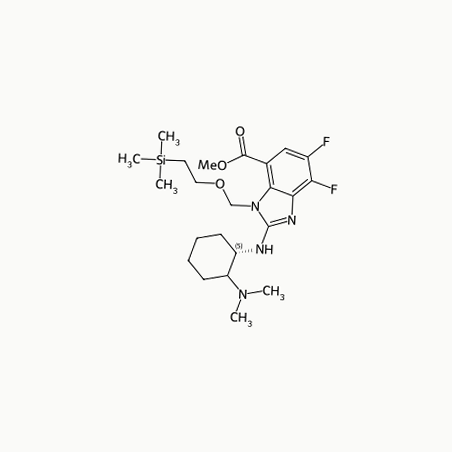 COC(=O)c1cc(F)c(F)c2nc(N[C@H]3CCCCC3N(C)C)n(COCC[Si](C)(C)C)c12